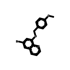 COc1ccc(COc2cc(Br)cc3cccnc23)cc1